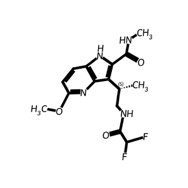 CNC(=O)c1[nH]c2ccc(OC)nc2c1[C@H](C)CNC(=O)C(F)F